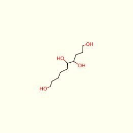 OCCCCCC(O)C(O)CCCO